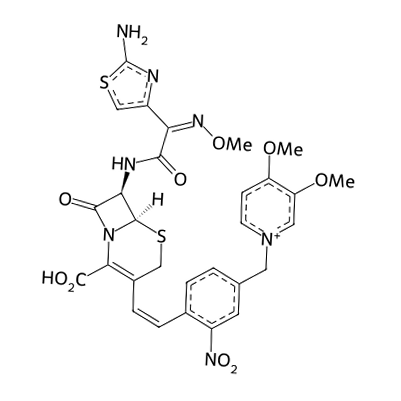 CO/N=C(\C(=O)N[C@@H]1C(=O)N2C(C(=O)O)=C(/C=C\c3ccc(C[n+]4ccc(OC)c(OC)c4)cc3[N+](=O)[O-])CS[C@H]12)c1csc(N)n1